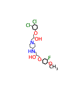 COc1ccc(OC[C@@H](O)CNC2CCN(C[C@H](O)COc3ccc(Cl)c(Cl)c3)CC2)cc1F